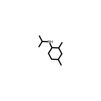 CC1CCC(NC(C)C)C(C)C1